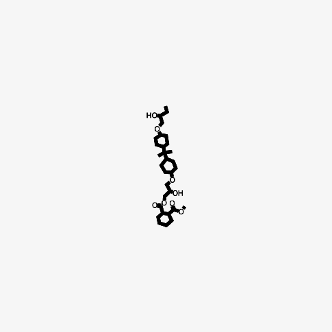 CCC(O)COC1CCC(C(C)(C)C2CCC(OCC(O)COC(=O)C3CCCCC3C(=O)OC)CC2)CC1